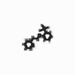 CC(C)(C)c1ccccc1OCCc1ccccn1